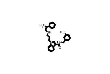 Cc1cccc(CNC(=O)c2cn(CCCNCC(C)c3ccccc3)c3ccccc23)c1